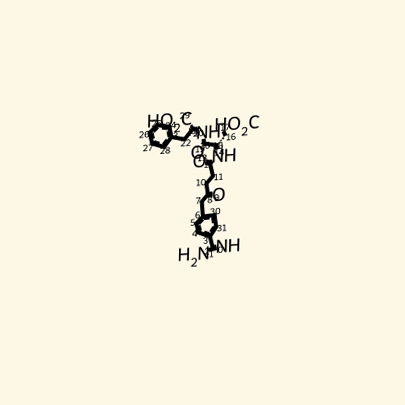 N=C(N)c1ccc(CC(=O)CCC(=O)N[C@@H](CC(=O)O)C(=O)N[C@@H](Cc2ccccc2)C(=O)O)cc1